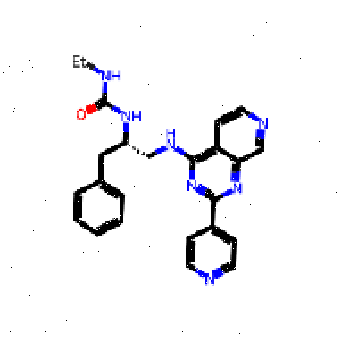 CCNC(=O)N[C@H](CNc1nc(-c2ccncc2)nc2cnccc12)Cc1ccccc1